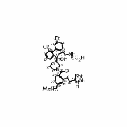 CCc1cccc(-c2c(Cl)cccc2[C@](O)(CCCNC(=O)O)[C@@H]2CCCN(C(=O)c3ccc(CNC)cc3CCc3nnn[nH]3)C2)c1